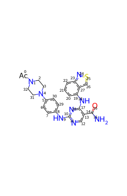 CC(=O)N1CCN(c2ccc(Nc3ncc(C(N)=O)c(Nc4cccc5nscc45)n3)cc2)CC1